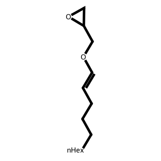 CCCCCCCCCC=COCC1CO1